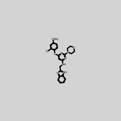 COc1ccc(Oc2cc(NCc3nc4ccccc4[nH]3)nc(N3CCOCC3)n2)c(Cl)c1